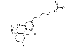 CC1=CC[C@@H]2[C@@H](C1)c1c(O)cc(CCCCCO[N+](=O)[O-])cc1OC2(F)F